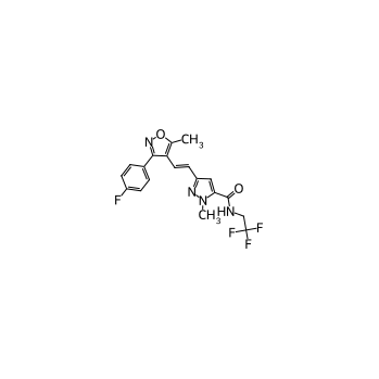 Cc1onc(-c2ccc(F)cc2)c1/C=C/c1cc(C(=O)NCC(F)(F)F)n(C)n1